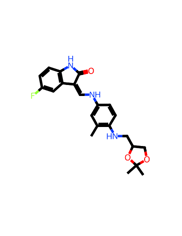 Cc1cc(NC=C2C(=O)Nc3ccc(F)cc32)ccc1NCC1COC(C)(C)O1